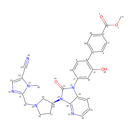 COC(=O)c1ccc(-c2ccc(-n3c(=O)n([C@H]4CCN(Cc5ncc(C#N)n5C)C4)c4ncccc43)cc2O)cc1